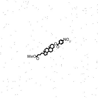 COC(=O)CCCC1CCC2C3CCC4CC(OC(=O)c5ccc([N+](=O)[O-])cc5)CCC4(C)C3CCC12C